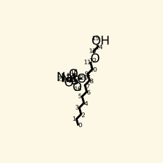 CCCCCCCCCCCCOCCO.O=S(=O)([O-])[O-].[Na+].[Na+]